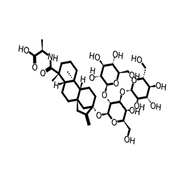 C=C1C[C@@]23CC[C@H]4[C@@](C)(CCC[C@@]4(C)C(=O)N[C@H](C)C(=O)O)[C@@H]2CC[C@]1(O[C@@H]1O[C@H](CO)[C@@H](O)[C@H](O[C@@H]2O[C@H](CO)[C@@H](O)[C@H](O)[C@H]2O)[C@H]1O[C@@H]1O[C@H](CO)[C@@H](O)[C@H](O)[C@H]1O)C3